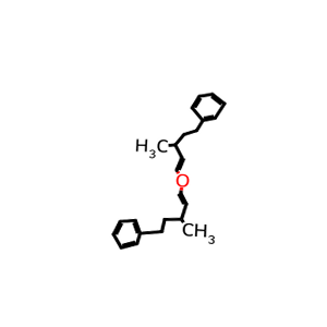 CC(C=COC=CC(C)CCc1ccccc1)CCc1ccccc1